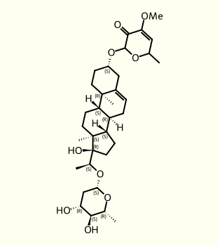 COC1=CC(C)OC(O[C@H]2CC[C@@]3(C)C(=CC[C@@H]4[C@@H]3CC[C@@]3(C)[C@H]4CC[C@]3(O)[C@H](C)O[C@H]3C[C@@H](O)[C@H](O)[C@@H](C)O3)C2)C1=O